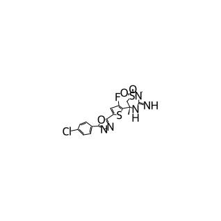 CN1C(=N)N[C@](C)(c2sc(-c3nnc(-c4ccc(Cl)cc4)o3)cc2F)CS1(=O)=O